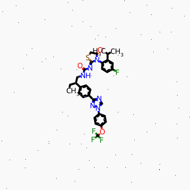 CCC(CNC(=O)N=C1SCC(=O)N1c1ccc(F)cc1C(C)C)c1ccc(-c2ncn(-c3ccc(OC(F)(F)F)cc3)n2)cc1